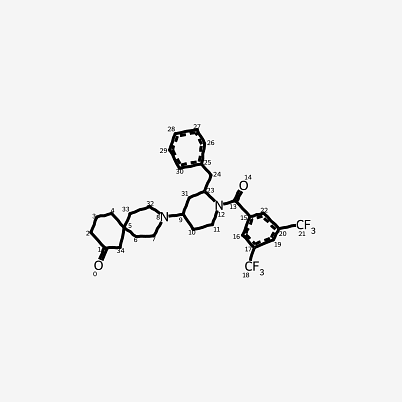 O=C1CCCC2(CCN(C3CCN(C(=O)c4cc(C(F)(F)F)cc(C(F)(F)F)c4)C(Cc4ccccc4)C3)CC2)C1